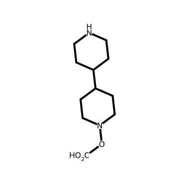 O=C(O)ON1CCC(C2CCNCC2)CC1